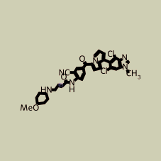 COC1CCC(NC/C=C/C(=O)Nc2ccc(C(=O)c3ccc4c(-c5c(Cl)cc6c(ncn6C)c5Cl)cccn34)cc2C#N)CC1